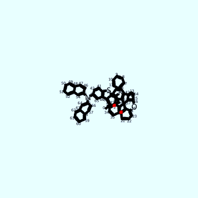 Cc1ccc(N(c2ccccc2)c2cccc3c2C2(c4ccccc4O3)c3ccccc3-c3ccccc32)c2sc3ccc(N(c4ccc5ccccc5c4)c4ccc5ccccc5c4)cc3c12